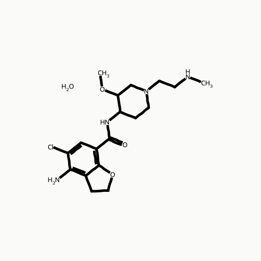 CNCCN1CCC(NC(=O)c2cc(Cl)c(N)c3c2OCC3)C(OC)C1.O